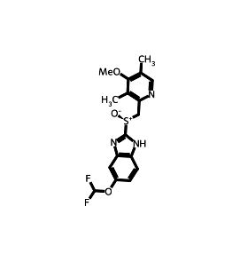 COc1c(C)cnc(C[S@+]([O-])c2nc3cc(OC(F)F)ccc3[nH]2)c1C